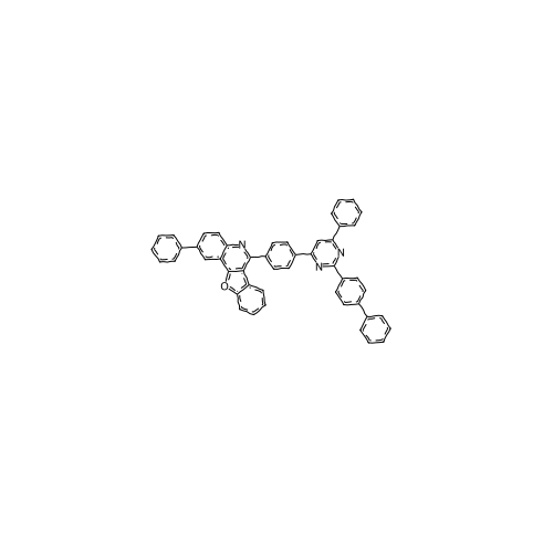 c1ccc(-c2ccc(-c3nc(-c4ccccc4)cc(-c4ccc(-c5nc6ccc(-c7ccccc7)cc6c6oc7ccccc7c56)cc4)n3)cc2)cc1